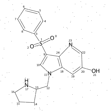 O=S(=O)(c1ccccc1)c1cn(CC2CCCN2)c2cc(O)cnc12